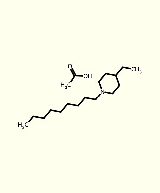 CC(=O)O.CCCCCCCCCN1CCC(CC)CC1